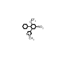 Cn1cc(-c2cc([N+](=O)[O-])cc(OC(F)(F)F)c2-c2ccccc2)cn1